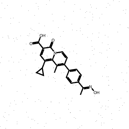 C/C(=N\O)c1ccc(-c2ccn3c(=O)c(C(=O)O)cc(C4CC4)c3c2C)cc1